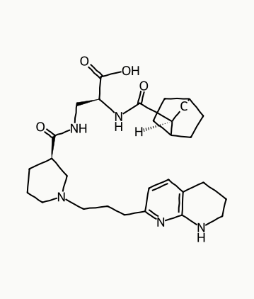 O=C(NC[C@H](NC(=O)[C@H]1CC2CCC1CC2)C(=O)O)[C@@H]1CCCN(CCCc2ccc3c(n2)NCCC3)C1